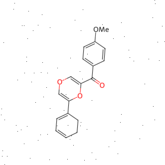 COc1ccc(C(=O)C2=COC=C(C3=CC=CCC3)O2)cc1